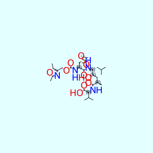 Cc1nc(COC(=O)N[C@@H](CS(C)(=O)=O)C(=O)N[C@H](CC(C)C)[C@@H](O)C[C@@H](C)C(=O)N[C@@H](C(=O)O)C(C)C)c(C)o1